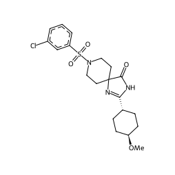 CO[C@H]1CC[C@H](C2=NC3(CCN(S(=O)(=O)c4cccc(Cl)c4)CC3)C(=O)N2)CC1